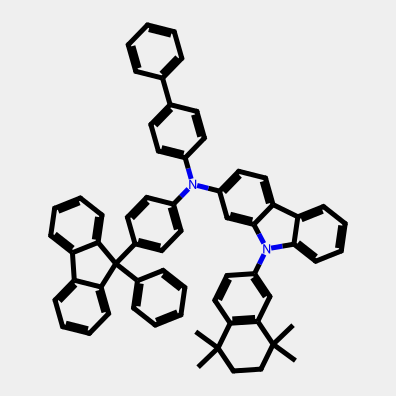 CC1(C)CCC(C)(C)c2cc(-n3c4ccccc4c4ccc(N(c5ccc(-c6ccccc6)cc5)c5ccc(C6(c7ccccc7)c7ccccc7-c7ccccc76)cc5)cc43)ccc21